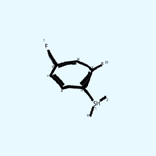 C[SH](C)c1ccc(F)cc1F